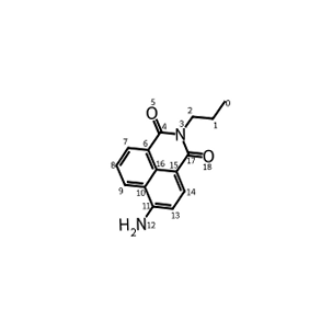 CCCN1C(=O)c2cccc3c(N)ccc(c23)C1=O